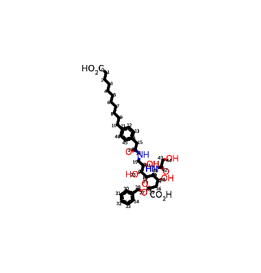 O=C(O)CCCCCCCCCCc1ccc(CC(=O)NC[C@@H](O)[C@@H](O)[C@@H]2O[C@@](OCc3ccccc3)(C(=O)O)C[C@H](O)[C@H]2NC(=O)CO)cc1